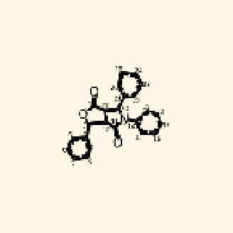 O=C1OC(c2ccccc2)=C2C(=O)N(c3ccccc3)C(c3ccccc3)=C12